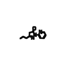 CCCC1=NN(c2ccccn2)C(=O)C1